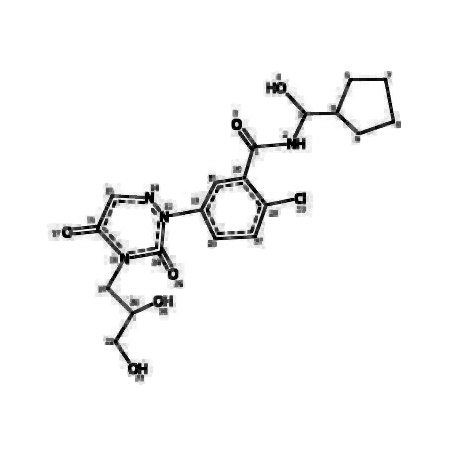 O=C(NC(O)C1CCCC1)c1cc(-n2ncc(=O)n(CC(O)CO)c2=O)ccc1Cl